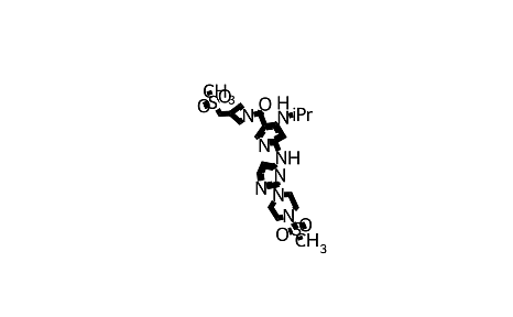 CC(C)Nc1cc(Nc2ccnc(N3CCN(S(C)(=O)=O)CC3)n2)ncc1C(=O)N1CC(CS(C)(=O)=O)C1